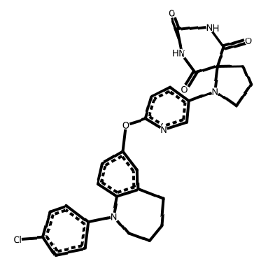 O=C1NC(=O)C2(CCCN2c2ccc(Oc3ccc4c(c3)CCCCN4c3ccc(Cl)cc3)nc2)C(=O)N1